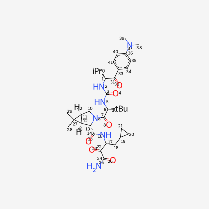 CC(C)[C@H](NC(=O)N[C@H](C(=O)N1C[C@H]2[C@@H]([C@H]1C(=O)NC(CC1CC1)C(=O)C(N)=O)C2(C)C)C(C)(C)C)C(=O)c1ccc(N(C)C)cc1